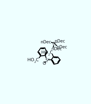 CCCCCCCCCC[N+](CCCCCCCCCC)(CCCCCCCCCC)CCCCCCCCCC.O=C(O)c1ccccc1[S+]([O-])c1ccccc1C(=O)O